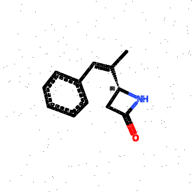 CC(=Cc1ccccc1)[C@H]1CC(=O)N1